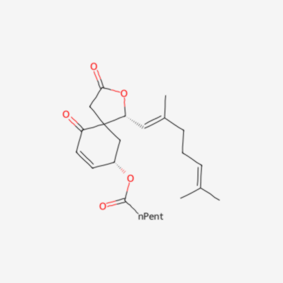 CCCCCC(=O)O[C@@H]1C=CC(=O)C2(CC(=O)O[C@@H]2/C=C(\C)CCC=C(C)C)C1